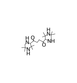 CC1(C)CNC(C(=O)CCC(=O)C2NCC(C)(C)NC2(C)C)C(C)(C)N1